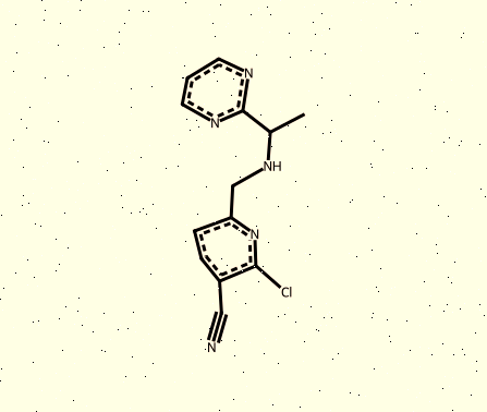 CC(NCc1ccc(C#N)c(Cl)n1)c1ncccn1